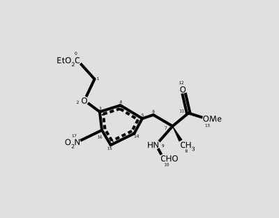 CCOC(=O)COc1cc(C[C@@](C)(NC=O)C(=O)OC)ccc1[N+](=O)[O-]